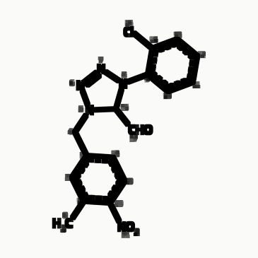 Cc1cc(CN2N=NN(c3ccccc3Cl)C2C=O)ccc1[N+](=O)[O-]